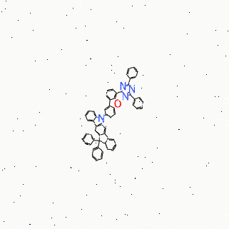 c1ccc(-c2nc(-c3ccccc3)nc(-c3cccc4c3oc3ccc(-n5c6ccccc6c6cc7c(cc65)-c5ccccc5C7(c5ccccc5)c5ccccc5)cc34)n2)cc1